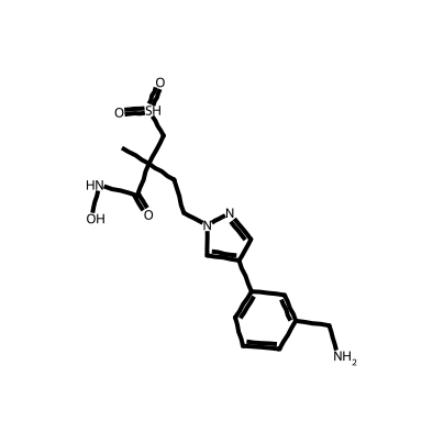 CC(CCn1cc(-c2cccc(CN)c2)cn1)(C[SH](=O)=O)C(=O)NO